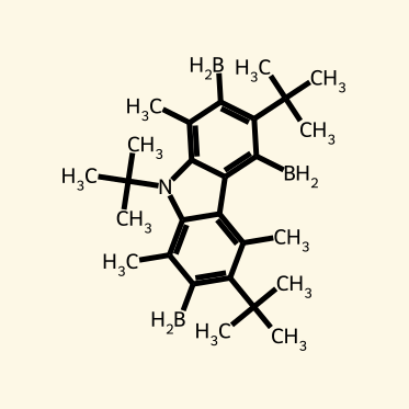 Bc1c(C(C)(C)C)c(B)c2c3c(C)c(C(C)(C)C)c(B)c(C)c3n(C(C)(C)C)c2c1C